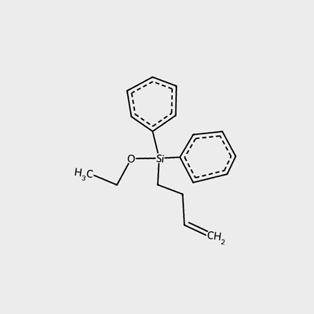 C=CCC[Si](OCC)(c1ccccc1)c1ccccc1